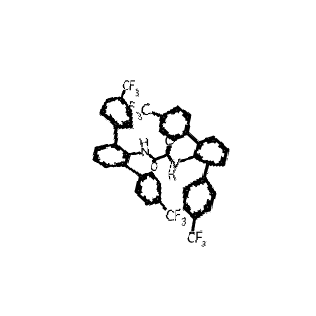 O=C(Nc1c(-c2ccc(C(F)(F)F)cc2)cccc1-c1ccc(C(F)(F)F)cc1)C(=O)Nc1c(-c2ccc(C(F)(F)F)cc2)cccc1-c1ccc(C(F)(F)F)cc1